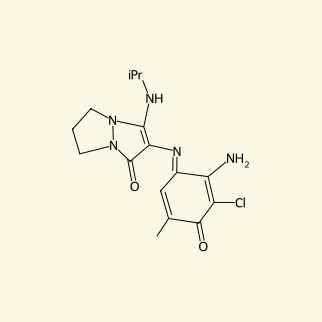 CC1=CC(=Nc2c(NC(C)C)n3n(c2=O)CCC3)C(N)=C(Cl)C1=O